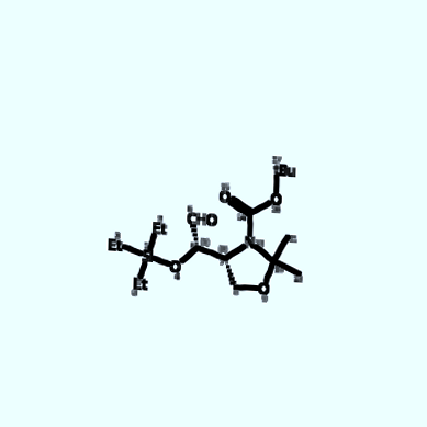 CC[Si](CC)(CC)O[C@H](C=O)[C@H]1COC(C)(C)N1C(=O)OC(C)(C)C